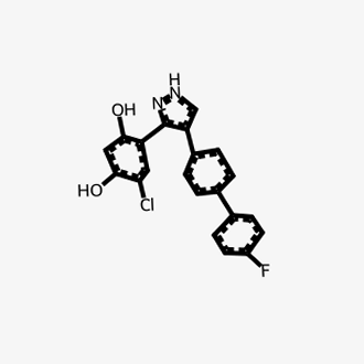 Oc1cc(O)c(-c2n[nH]cc2-c2ccc(-c3ccc(F)cc3)cc2)cc1Cl